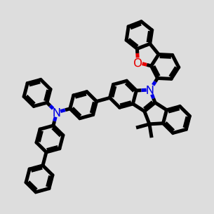 CC1(C)c2ccccc2-c2c1c1cc(-c3ccc(N(c4ccccc4)c4ccc(-c5ccccc5)cc4)cc3)ccc1n2-c1cccc2c1oc1ccccc12